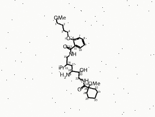 COCCCCOc1ccccc1C(=O)NCC(CC(N)C(O)CNC(=O)C1(OC)CCCCC1)C(C)C